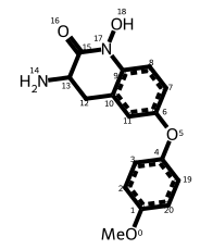 COc1ccc(Oc2ccc3c(c2)CC(N)C(=O)N3O)cc1